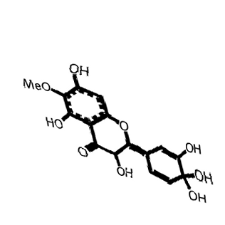 COc1c(O)cc2c(c1O)C(=O)C(O)C(=C1C=CC(O)(O)C(O)=C1)O2